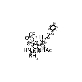 CC(=O)N[C@@H]1[C@@H](NC(=N)N)C=C(C(=O)OC(=O)C(F)(F)F)O[C@H]1C(=O)NCCCCCc1ccccc1